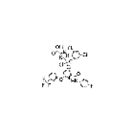 O=C(Nc1ccc(F)cc1)c1cccc(Oc2cccc(C(F)(F)F)c2)n1.O=C(O)c1nc(C(Cl)(Cl)Cl)n(-c2ccc(Cl)cc2Cl)n1